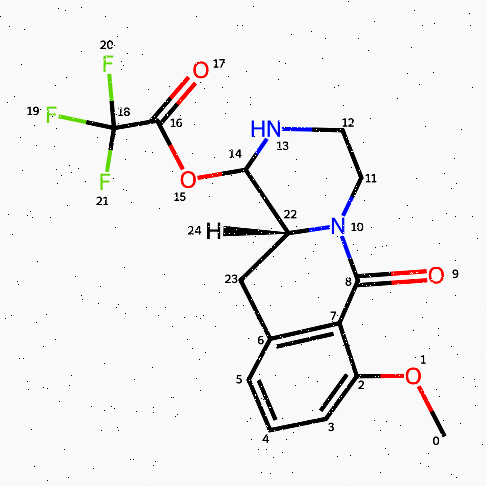 COc1cccc2c1C(=O)N1CCNC(OC(=O)C(F)(F)F)[C@H]1C2